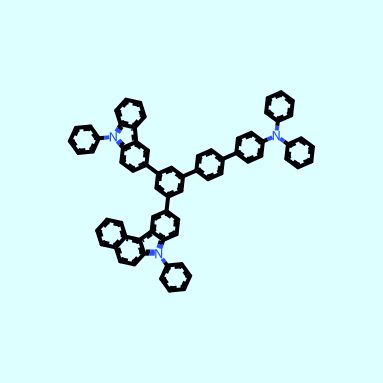 c1ccc(N(c2ccccc2)c2ccc(-c3ccc(-c4cc(-c5ccc6c(c5)c5ccccc5n6-c5ccccc5)cc(-c5ccc6c(c5)c5c7ccccc7ccc5n6-c5ccccc5)c4)cc3)cc2)cc1